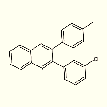 Cc1ccc(-c2cc3ccccc3[c]c2-c2cccc(Cl)c2)cc1